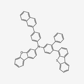 c1ccc(-c2cc(N(c3ccc(-c4ccc5ccccc5c4)cc3)c3ccc4c(c3)oc3ccccc34)ccc2-c2cccc3c2sc2ccccc23)cc1